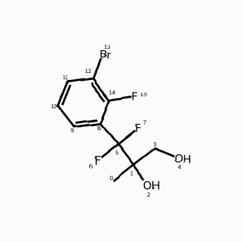 CC(O)(CO)C(F)(F)c1cccc(Br)c1F